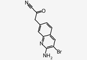 N#CC(=O)Cc1ccc2cc(Br)c(N)nc2c1